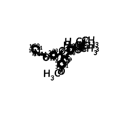 COc1ccc2c(C(=O)c3ccc(OCCN4CCCCC4)cc3)c(-c3cccc(O[Si](C)(C)C(C)(C)C)c3)sc2c1